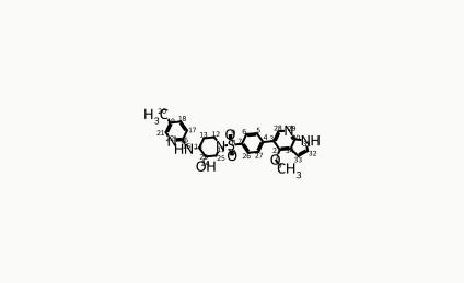 COc1c(-c2ccc(S(=O)(=O)N3CC[C@@H](Nc4ccc(C)cn4)[C@@H](O)C3)cc2)cnc2[nH]ccc12